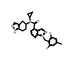 O=C(c1cccc2c1cnn2Cc1c(F)cc(F)cc1F)N(C1CC1)C1CCc2[nH]ncc2C1